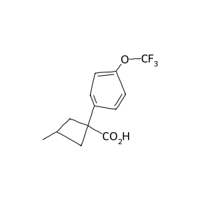 CC1CC(C(=O)O)(c2ccc(OC(F)(F)F)cc2)C1